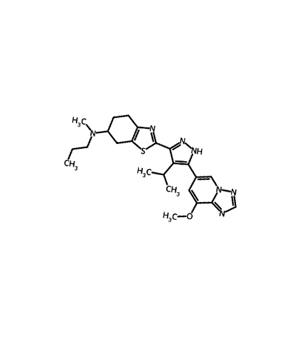 CCCN(C)C1CCc2nc(-c3n[nH]c(-c4cc(OC)c5ncnn5c4)c3C(C)C)sc2C1